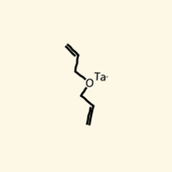 C=CCOCC=C.[Ta]